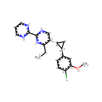 CCc1nc(-c2ncccn2)ncc1[C@@H]1C[C@H]1c1ccc(F)c(OC)c1